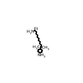 CCC(N)CCCCCCCCCC(C)(C)c1ccc(N)cc1